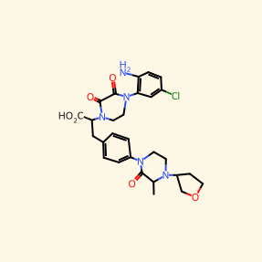 CC1C(=O)N(c2ccc(CC(C(=O)O)N3CCN(c4cc(Cl)ccc4N)C(=O)C3=O)cc2)CCN1C1CCOC1